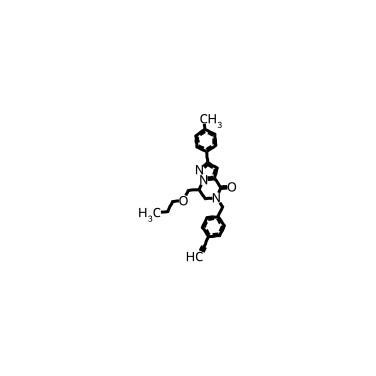 C#Cc1ccc(CN2CC(COCCC)n3nc(-c4ccc(C)cc4)cc3C2=O)cc1